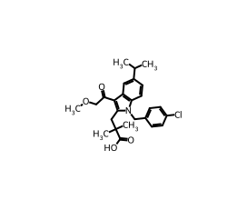 COCC(=O)c1c(CC(C)(C)C(=O)O)n(Cc2ccc(Cl)cc2)c2ccc(C(C)C)cc12